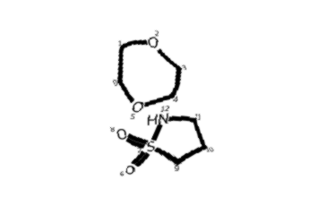 C1COCCO1.O=S1(=O)CCCN1